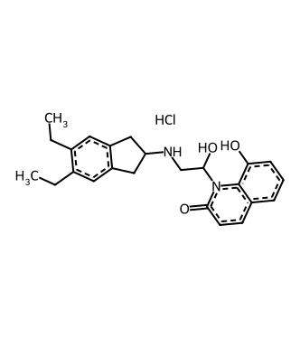 CCc1cc2c(cc1CC)CC(NCC(O)n1c(=O)ccc3cccc(O)c31)C2.Cl